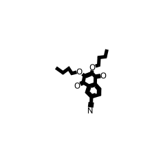 CCCCOC1=C(OCCCC)C(=O)c2cc(C#N)ccc2C1=O